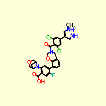 CN/C=C(\C=N)c1cc(Cl)c(C(=O)N2COc3c(cccc3-c3cc(N4C5COCC4C5)c(C(=O)O)cc3F)C2)c(Cl)c1